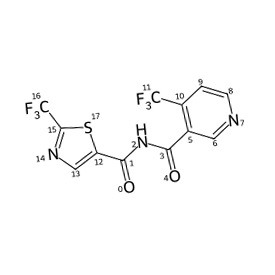 O=C(NC(=O)c1cnccc1C(F)(F)F)c1cnc(C(F)(F)F)s1